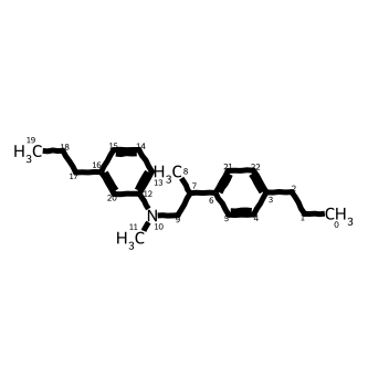 CCCc1ccc(C(C)CN(C)c2cccc(CCC)c2)cc1